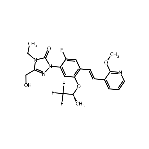 CCn1c(CO)nn(-c2cc(O[C@@H](C)C(F)(F)F)c(/C=C/c3cccnc3OC)cc2F)c1=O